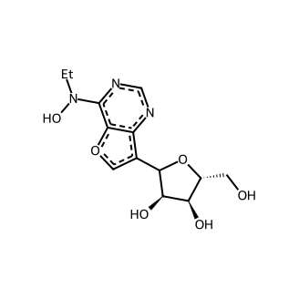 CCN(O)c1ncnc2c(C3O[C@H](CO)[C@@H](O)[C@H]3O)coc12